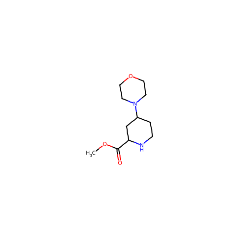 COC(=O)C1CC(N2CCOCC2)CCN1